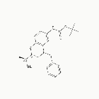 C[C@H](N)[C@H]1CN(Cc2ccccc2)c2cc(NC(=O)OC(C)(C)C)ccc2O1